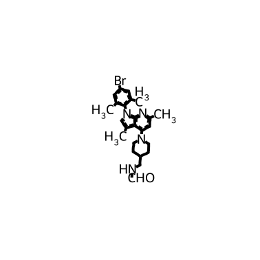 Cc1cc(N2CCC(CNC=O)CC2)c2c(C)cn(-c3c(C)cc(Br)cc3C)c2n1